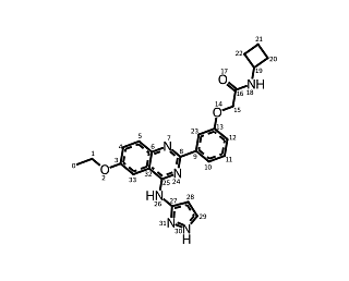 CCOc1ccc2nc(-c3cccc(OCC(=O)NC4CCC4)c3)nc(Nc3cc[nH]n3)c2c1